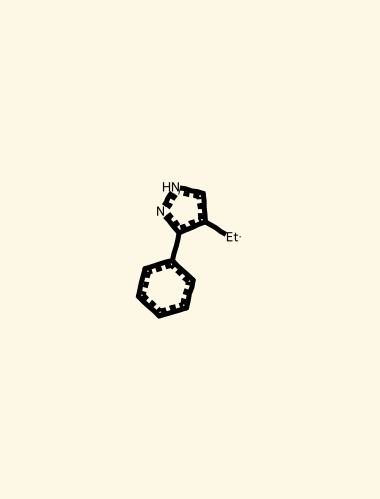 C[CH]c1c[nH]nc1-c1ccccc1